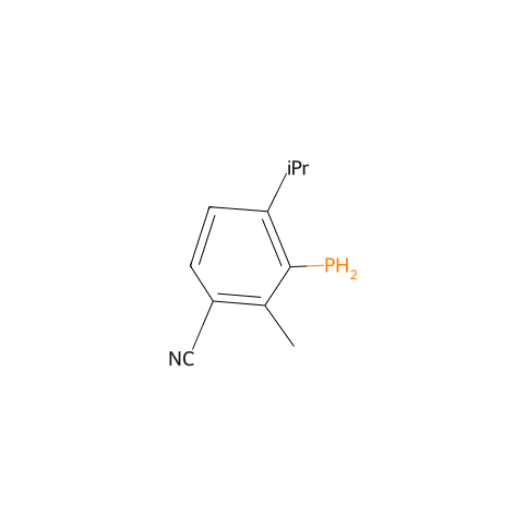 Cc1c(C#N)ccc(C(C)C)c1P